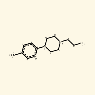 O=[N+]([O-])c1ccc(N2CCN(CCC(F)(F)F)CC2)nc1